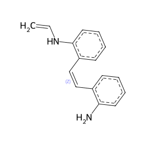 C=CNc1ccccc1/C=C\c1ccccc1N